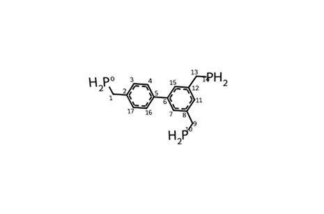 PCc1ccc(-c2cc(CP)cc(CP)c2)cc1